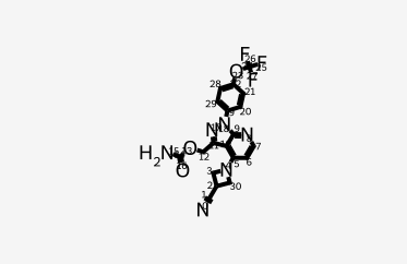 N#CC1CN(c2ccnc3c2c(COC(N)=O)nn3-c2ccc(OC(F)(F)F)cc2)C1